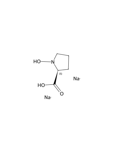 O=C(O)[C@@H]1CCCN1O.[Na].[Na]